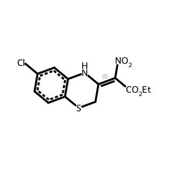 CCOC(=O)/C(=C1\CSc2ccc(Cl)cc2N1)[N+](=O)[O-]